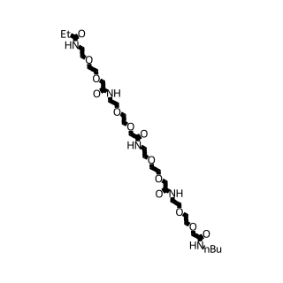 CCCCNC(=O)COCCOCCNC(=O)COCCOCCNC(=O)COCCOCCNC(=O)COCCOCCNC(=O)CC